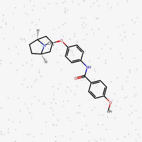 CCCOc1ccc(C(=O)Nc2ccc(O[C@H]3C[C@H]4CC[C@@H](C3)N4C)cc2)cc1